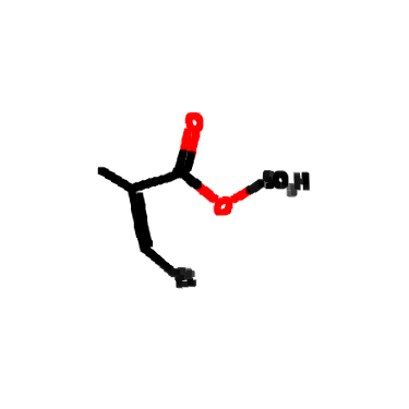 CCC=C(C)C(=O)OS(=O)(=O)O